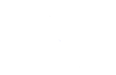 CCCCCCC1=CC=C(C(=O)OC)[SH]1C1=NCCS1